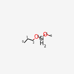 CCCO[SiH2]OC